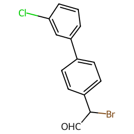 O=CC(Br)c1ccc(-c2cccc(Cl)c2)cc1